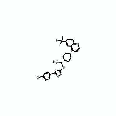 CC(Nc1nnc(-c2ccc(Cl)cc2)o1)[C@H]1CC[C@@H](c2ccnc3ccc(C(F)(F)F)cc32)CC1